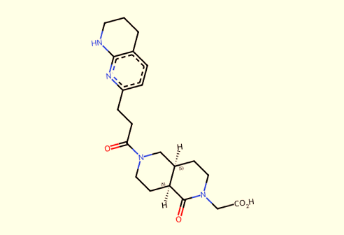 O=C(O)CN1CC[C@@H]2CN(C(=O)CCc3ccc4c(n3)NCCC4)CC[C@@H]2C1=O